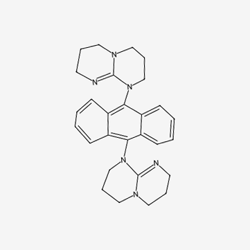 c1ccc2c(N3CCCN4CCCN=C43)c3ccccc3c(N3CCCN4CCCN=C43)c2c1